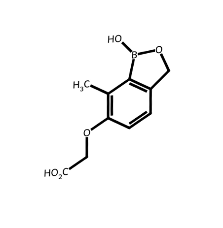 Cc1c(OCC(=O)O)ccc2c1B(O)OC2